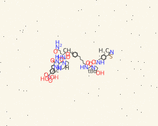 CC(=O)N1CC[C@H]2CC[C@@H](C(=O)N[C@@H](CCC(N)=O)[C@@H](C)OCc3ccc(CCCCC(=O)N[C@H](C(=O)N4C[C@H](O)C[C@H]4C(=O)NCc4ccc(-c5scnc5C)cc4)C(C)(C)C)cc3)N2C(=O)[C@@H](NC(=O)c2cc3cc(C(=O)P(=O)(O)O)ccc3[nH]2)C1